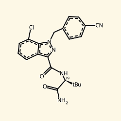 CC(C)(C)[C@H](NC(=O)c1nn(Cc2ccc(C#N)cc2)c2c(Cl)cccc12)C(N)=O